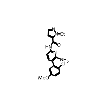 CCn1nccc1C(=O)Nc1ccc(-c2cc(OC)ccc2Cl)c(N)n1